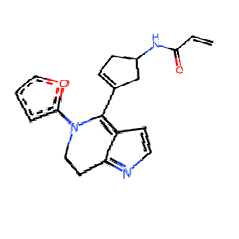 C=CC(=O)NC1CC=C(C2=C3C=CN=C3CCN2c2ccco2)C1